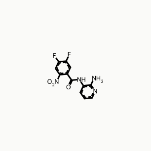 Nc1ncccc1NC(=O)c1cc(F)c(F)cc1[N+](=O)[O-]